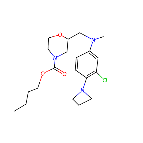 CCCCOC(=O)N1CCOC(CN(C)c2ccc(N3CCC3)c(Cl)c2)C1